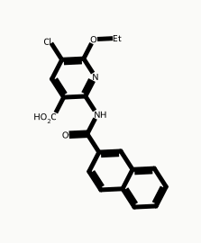 CCOc1nc(NC(=O)c2ccc3ccccc3c2)c(C(=O)O)cc1Cl